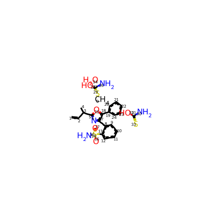 C.C=CC(C)c1nc(-c2ccccc2S(N)(=O)=O)c(-c2ccccc2)o1.NC(O)=S.NC(O)=S.O